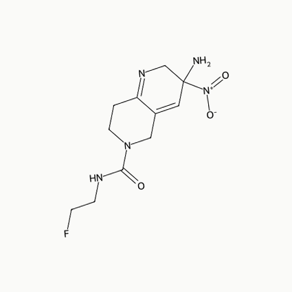 NC1([N+](=O)[O-])C=C2CN(C(=O)NCCF)CCC2=NC1